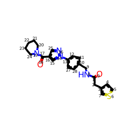 O=C(Cc1ccsc1)NCc1ccc(-n2cc(C(=O)N3CCCCC3)cn2)cc1